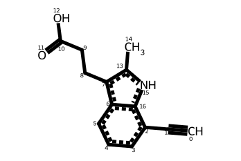 C#Cc1cccc2c(CCC(=O)O)c(C)[nH]c12